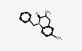 Cc1ccc2c(c1)CC(C)C(=O)N2Cc1ccccc1